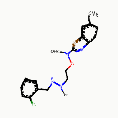 COc1ccc2nc(N(C=O)OCCN(NCc3ccccc3Cl)C(C)=O)sc2c1